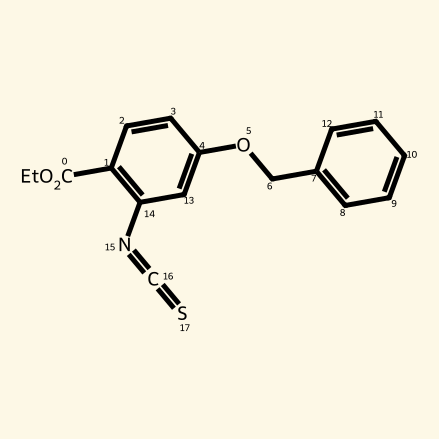 CCOC(=O)c1ccc(OCc2ccccc2)cc1N=C=S